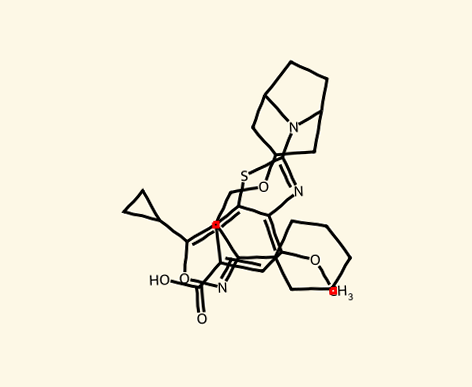 COc1cc(C(=O)O)cc2sc(N3C4CCC3CC(OCc3c(C5CCCCC5)noc3C3CC3)C4)nc12